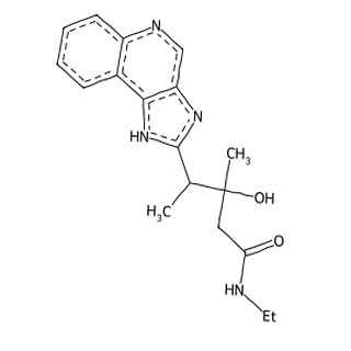 CCNC(=O)CC(C)(O)C(C)c1nc2cnc3ccccc3c2[nH]1